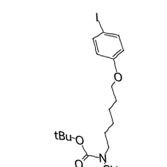 CN(CCCCCCOc1ccc(I)cc1)C(=O)OC(C)(C)C